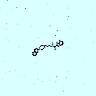 O=C(NCCCCN1CCN(c2ccc3ccccc3n2)CC1)c1cn2cccnc2n1